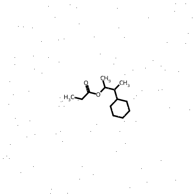 CCC(=O)OC(C)C(C)C1CCCCC1